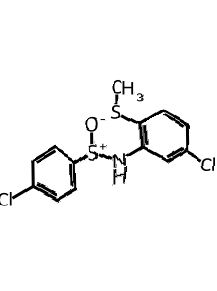 CSc1ccc(Cl)cc1N[S+]([O-])c1ccc(Cl)cc1